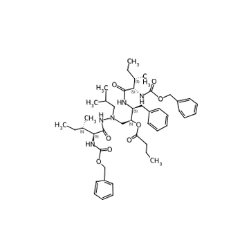 CCCC(=O)O[C@@H](CN(CC(C)C)NC(=O)[C@@H](NC(=O)OCc1ccccc1)[C@@H](C)CC)[C@H](Cc1ccccc1)NC(=O)[C@@H](NC(=O)OCc1ccccc1)[C@@H](C)CC